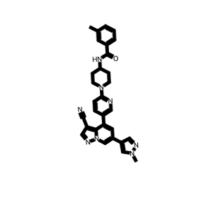 Cc1cccc(C(=O)NC2CCN(c3ccc(-c4cc(-c5cnn(C)c5)cn5ncc(C#N)c45)cn3)CC2)c1